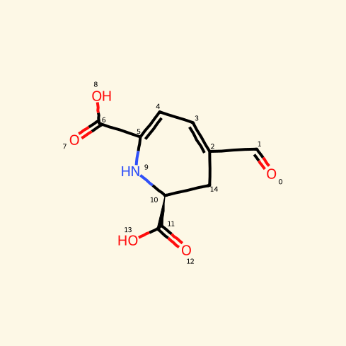 O=CC1=CC=C(C(=O)O)N[C@H](C(=O)O)C1